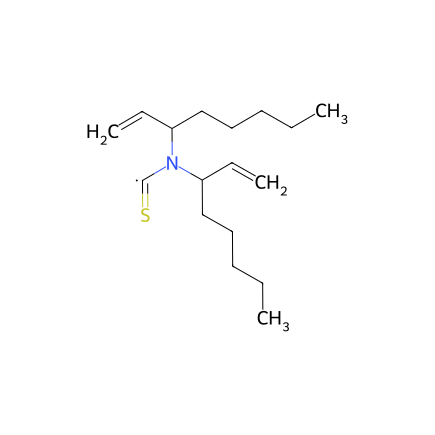 C=CC(CCCCC)N([C]=S)C(C=C)CCCCC